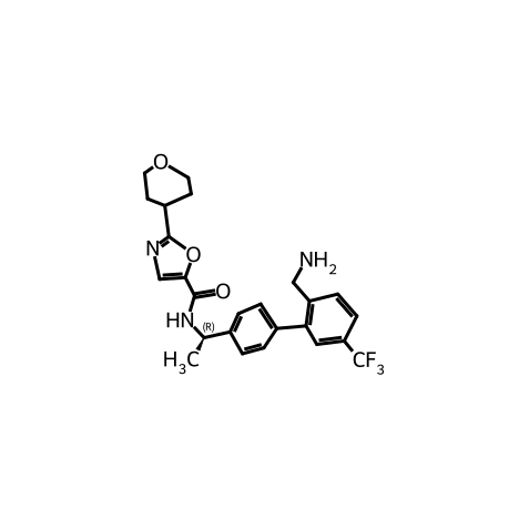 C[C@@H](NC(=O)c1cnc(C2CCOCC2)o1)c1ccc(-c2cc(C(F)(F)F)ccc2CN)cc1